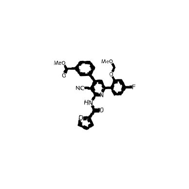 COCOc1cc(F)ccc1-c1cc(-c2cccc(C(=O)OC)c2)c(C#N)c(NC(=O)c2ccco2)n1